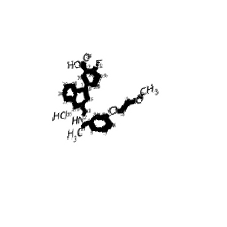 COCCOc1cccc(C(C)NCc2cc(-c3ccc(F)c(C(=O)O)c3)c3ccccc3c2)c1.Cl